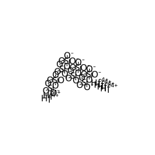 [Hf+4].[Hf+4].[Hf+4].[Hf+4].[Hf+4].[Hf+4].[O-][Si]([O-])([O-])O[Si]([O-])([O-])[O-].[O-][Si]([O-])([O-])O[Si]([O-])([O-])[O-].[O-][Si]([O-])([O-])O[Si]([O-])([O-])[O-].[O-][Si]([O-])([O-])O[Si]([O-])([O-])[O-]